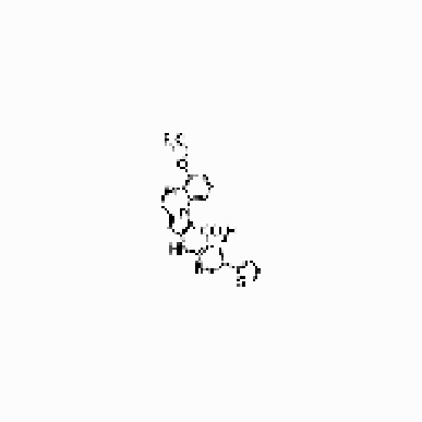 CC(C)Cc1cc(Nc2ncc(-c3cccs3)cc2C(=O)O)nn1-c1cccc(OCC(F)(F)F)c1